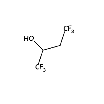 OC(CC(F)(F)F)C(F)(F)F